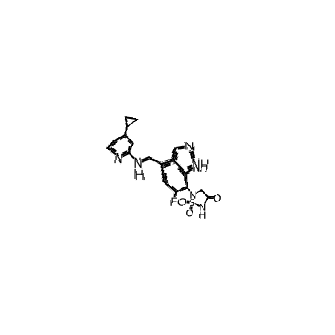 O=C1CN(c2c(F)cc(CNc3cc(C4CC4)ccn3)c3cn[nH]c23)S(=O)(=O)N1